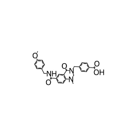 COc1ccc(CNC(=O)c2ccc3c(c2)C(=O)N(Cc2ccc(C(=O)O)cc2)CN3C)cc1